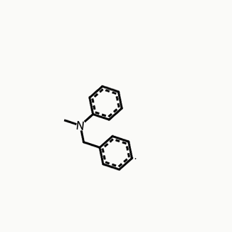 CN(Cc1cc[c]cc1)c1ccccc1